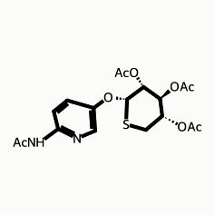 CC(=O)Nc1ccc(O[C@H]2SC[C@@H](OC(C)=O)[C@H](OC(C)=O)[C@H]2OC(C)=O)cn1